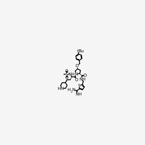 CC(C)(C)c1ccc(CO[C@@H]2C[C@@H](C(=O)NCc3ccc(C(=N)N)s3)N(C(=O)[C@@H](CCC3CCNCC3)NS(C)(=O)=O)C2)cc1